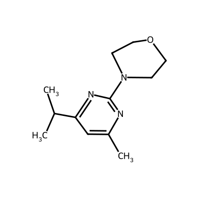 Cc1cc(C(C)C)nc(N2CCOCC2)n1